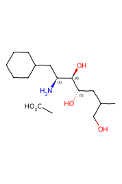 CC(=O)O.CC(CO)C[C@H](O)[C@H](O)[C@@H](N)CC1CCCCC1